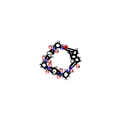 O=C1c2ccc3c4ccc5c6c7ccc(c8ccc(c2c38)C(=O)N1[C@@H]1CCCC[C@H]1n1c(=O)c2cc3c(=O)n(c(=O)c3cc2c1=O)[C@@H]1CCCC[C@H]1n1c(=O)c2cc3c(=O)n(c(=O)c3cc2c1=O)[C@@H]1CCCC[C@H]1N(C5=O)C7=O)c64